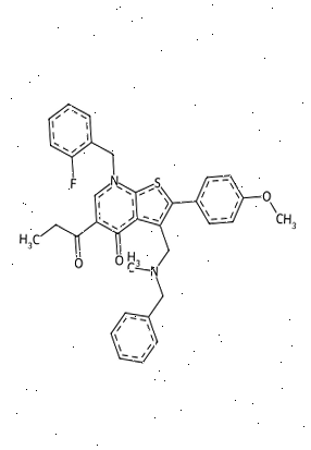 CCC(=O)c1cn(Cc2ccccc2F)c2sc(-c3ccc(OC)cc3)c(CN(C)Cc3ccccc3)c2c1=O